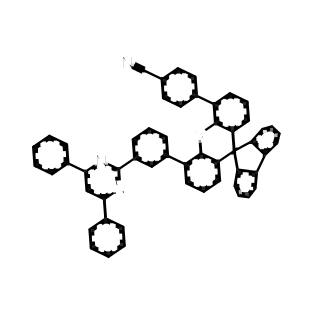 N#Cc1ccc(-c2cccc3c2Sc2c(-c4cccc(-c5nc(-c6ccccc6)cc(-c6ccccc6)n5)c4)cccc2C32c3ccccc3-c3ccccc32)cc1